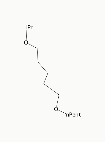 CCCCCOCCCCCOC(C)C